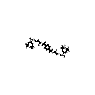 CN(OOCC(=O)OC(C)(C)c1ccc(C(C)(C)OC(=O)COON(C)C2CC(C)(C)NC(C)(C)C2)cc1)C1CC(C)(C)NC(C)(C)C1